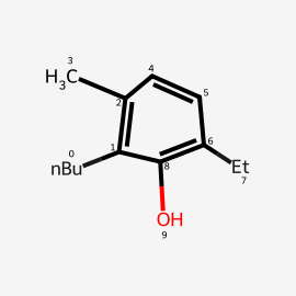 CCCCc1c(C)ccc(CC)c1O